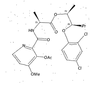 COc1ccnc(C(=O)N[C@@H](C)C(=O)O[C@@H](C)[C@H](Oc2ccc(Cl)cc2Cl)C(C)C)c1OC(C)=O